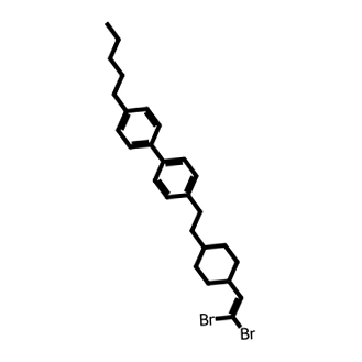 CCCCCc1ccc(-c2ccc(CCC3CCC(C=C(Br)Br)CC3)cc2)cc1